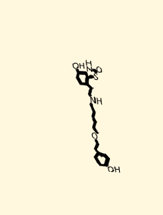 O=c1[nH]c2c(O)ccc(CCNCCCCCCOCCc3ccc(O)cc3)c2s1